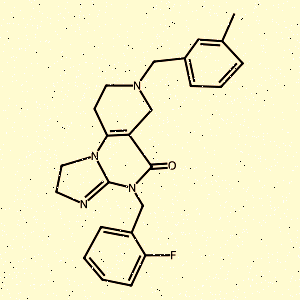 Cc1cccc(CN2CCC3=C(C2)C(=O)N(Cc2ccccc2F)C2=NCCN23)c1